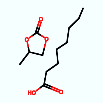 CC1COC(=O)O1.CCCCCCCC(=O)O